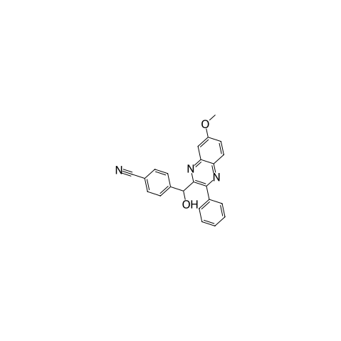 COc1ccc2nc(-c3ccccc3)c(C(O)c3ccc(C#N)cc3)nc2c1